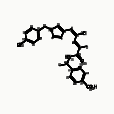 C/C(=C\C(Cl)=C/c1ccn(Cc2ccc(Cl)cc2)c1)C(=O)NC(C)c1ccc(C(=O)O)cn1